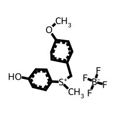 COc1ccc(C[S+](C)c2ccc(O)cc2)cc1.F[B-](F)(F)F